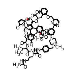 Cc1c(-c2c(-c3ccc(F)cc3)sc3ncnc(O[C@H](Cc4ccccc4OCc4ccnc(-c5cccc(OS(=O)(=O)O)c5)n4)C(=O)O)c23)ccc(OCCN2CC[N+](C)(Cc3ccc(NC(=O)[C@H](CCCNC(N)=O)NC(=O)[C@@H](NC(=O)CCOCCN4C(=O)C=CC4=O)C(C)C)cc3)CC2)c1Cl